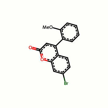 COc1ccccc1-c1cc(=O)oc2cc(Br)ccc12